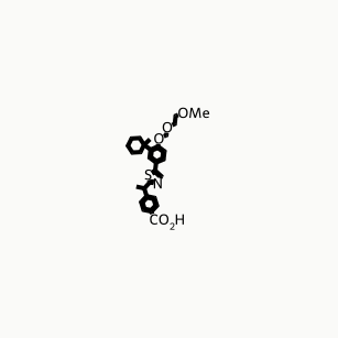 COCCOCOc1ccc(-c2cnc(C(C)c3ccc(C(=O)O)cc3)s2)cc1C1(C)CCCCC1